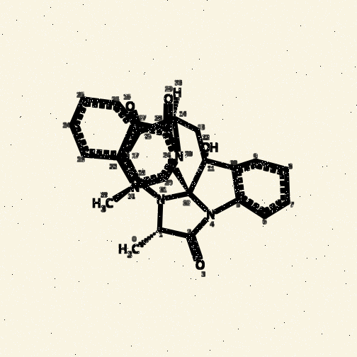 C[C@H]1C(=O)N2c3ccccc3[C@@]3(O)C[C@@H]4C(=O)N[C@](C)(c5nc6ccccc6c(=O)n54)N1[C@@H]23